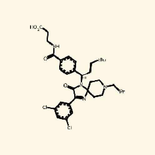 CC(C)CN1CCC2(CC1)N=C(c1cc(Cl)cc(Cl)c1)C(=O)N2[C@H](CCC(C)(C)C)c1ccc(C(=O)NCCC(=O)O)cc1